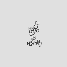 Cc1ccncc1-c1sc(C(=O)CN2C(=O)NC3(CCC(F)(F)CC3)C2=O)nc1C